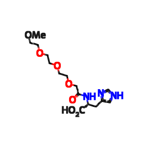 COCCOCCOCCOCC(=O)N[C@@H](Cc1c[nH]cn1)C(=O)O